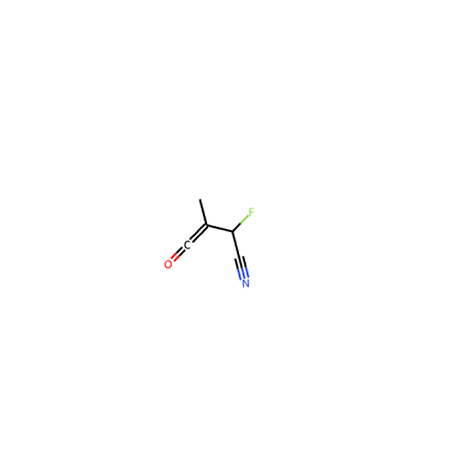 CC(=C=O)C(F)C#N